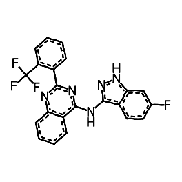 Fc1ccc2c(Nc3nc(-c4ccccc4C(F)(F)F)nc4ccccc34)n[nH]c2c1